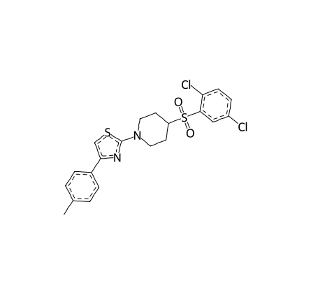 Cc1ccc(-c2csc(N3CCC(S(=O)(=O)c4cc(Cl)ccc4Cl)CC3)n2)cc1